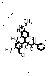 CCn1nnc2c(C)c(C(c3ccc(C)c(CCl)c3)C(C)(C)C(=O)Nc3cccnc3)ccc21